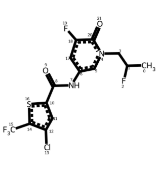 CC(F)Cn1cc(NC(=O)c2cc(Cl)c(C(F)(F)F)s2)cc(F)c1=O